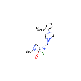 COc1ccccc1N1CCN(CCNc2cnn(C(C)(C)C)c(=O)c2Cl)CC1